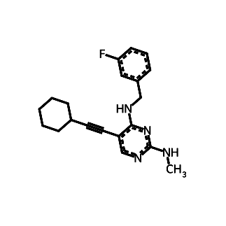 CNc1ncc(C#CC2CCCCC2)c(NCc2cccc(F)c2)n1